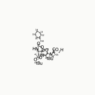 CC(C)(C)OC(=O)C[C@H](NC(=O)OCc1ccccc1)C(=O)NC(C(=O)N1CC[C@@H]1C(=O)O)C(C)(C)C